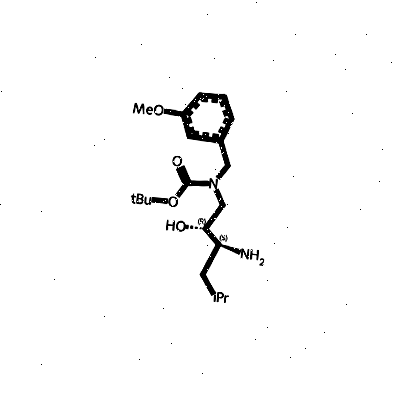 COc1cccc(CN(C[C@@H](O)[C@@H](N)CC(C)C)C(=O)OC(C)(C)C)c1